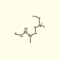 CCN(C)CCN(C)NSC